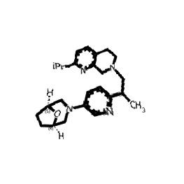 CC(C)c1ccc2c(n1)CN(CC(C)c1ccc(N3C[C@H]4CC[C@@H](C3)O4)cn1)CC2